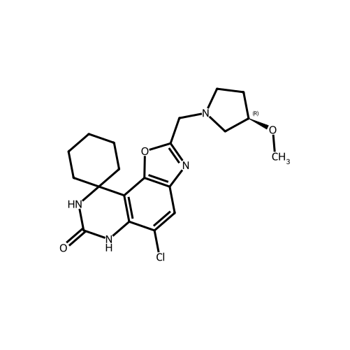 CO[C@@H]1CCN(Cc2nc3cc(Cl)c4c(c3o2)C2(CCCCC2)NC(=O)N4)C1